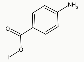 Nc1ccc(C(=O)OI)cc1